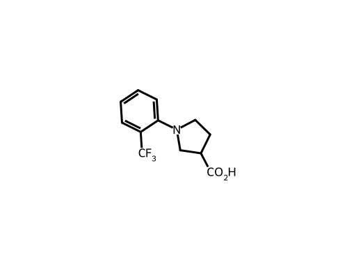 O=C(O)C1CCN(c2ccccc2C(F)(F)F)C1